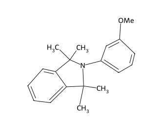 COc1cccc(N2C(C)(C)c3ccccc3C2(C)C)c1